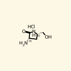 Cl.N[C@H]1C[C@@H](CO)NC1=O